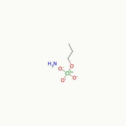 CCCO[Cl+3]([O-])([O-])[O-].N